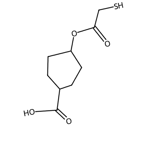 O=C(CS)OC1CCC(C(=O)O)CC1